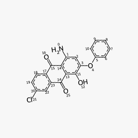 Nc1cc(Oc2ccccc2)c(O)c2c1C(=O)c1ccc(Cl)cc1C2=O